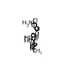 Cc1ncnc2c1ccn2[C@@H]1O[C@@H]2[C@@H](Oc3ccc4cc(Cl)c(N)nc4c3)CC[C@]2(O)[C@H]1O